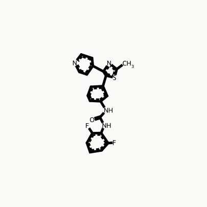 Cc1nc(-c2ccncc2)c(-c2cccc(NC(=O)Nc3c(F)cccc3F)c2)s1